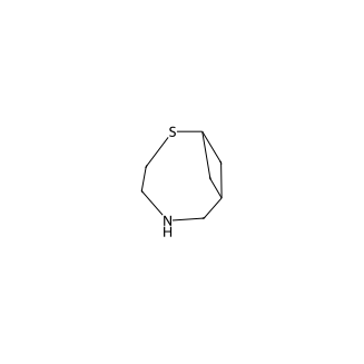 C1CSC2CC(CN1)C2